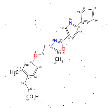 Cc1cc(OCCc2nc(-c3ccc(-c4ccccc4)nc3)oc2C)ccc1CCC(=O)O